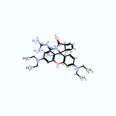 CCN(CC)c1ccc2c(c1)Oc1cc(N(CC)CC)ccc1C21c2ccccc2C(=O)N1/C(N)=N/C(N)N